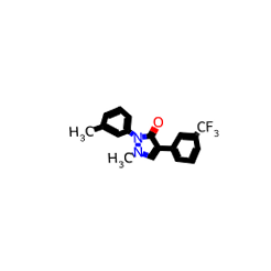 Cc1cccc(-n2c(=O)c(-c3cccc(C(F)(F)F)c3)cn2C)c1